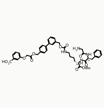 CC(C)COC(=O)[C@H](CCCCNC(=O)OCc1cccc(-c2ccc(COC(=O)COc3cccc(C(=O)O)c3)cc2)c1)NC(=O)[C@H](Cc1ccccc1)NC(=O)CN